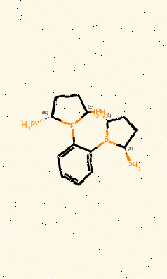 P[C@@H]1CC[C@@H](P)P1c1ccccc1P1[C@H](P)CC[C@H]1P